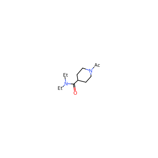 CCN(CC)C(=O)C1CCN(C(C)=O)CC1